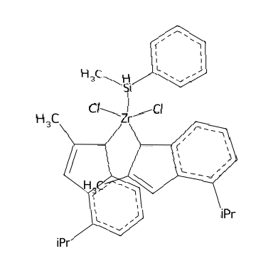 CC1=Cc2c(C(C)C)cccc2[CH]1[Zr]([Cl])([Cl])([CH]1C(C)=Cc2c(C(C)C)cccc21)[SiH](C)c1ccccc1